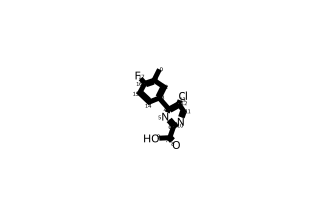 Cc1cc(-c2nc(C(=O)O)ncc2Cl)ccc1F